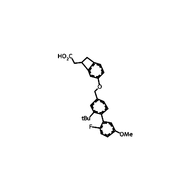 COc1ccc(F)c(-c2ccc(COc3ccc4c(c3)C(CC(=O)O)C4)cc2C(C)(C)C)c1